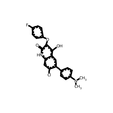 CN(C)c1ccc(-c2cc3c(O)c(Oc4ccc(F)cc4)c(=O)[nH]c3cc2Cl)cc1